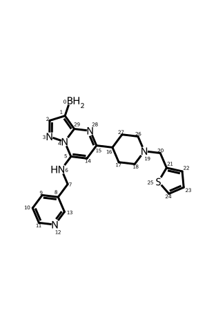 Bc1cnn2c(NCc3cccnc3)cc(C3CCN(Cc4cccs4)CC3)nc12